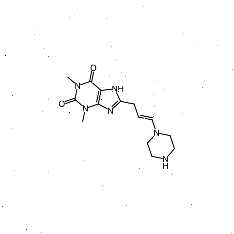 Cn1c(=O)c2[nH]c(CC=CN3CCNCC3)nc2n(C)c1=O